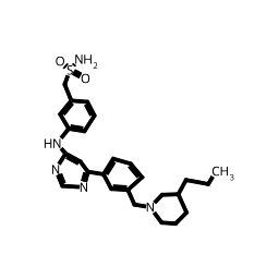 CCCC1CCCN(Cc2cccc(-c3cc(Nc4cccc(CS(N)(=O)=O)c4)ncn3)c2)C1